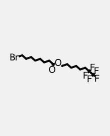 O=C(CCCCCCCBr)OCCCCCCC(F)(F)C(F)(F)F